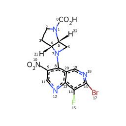 O=C(O)N1CC[C@@H]2[C@H]1CN2c1c([N+](=O)[O-])cnc2c(F)c(Br)ncc12